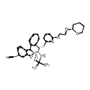 CC(C)(C)[S@+]([O-])N[C@@H](Cc1cccc(OCCO[C@H]2CCCCO2)n1)c1ccccc1-c1noc2cc(C#N)ccc12